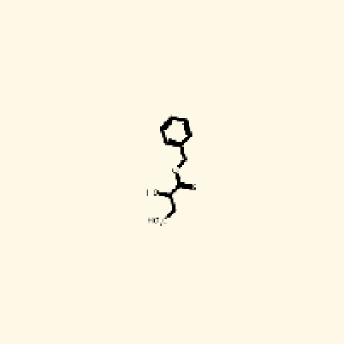 O=C(O)CC(O)C(=S)OCc1ccccc1